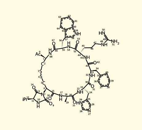 CC(=O)[C@@H]1CSSC[C@H](N2C(=O)N[C@@H](C(C)C)C2=O)C(=O)N[C@H](C)C(=O)N[C@@H](Cc2cnc[nH]2)C(=O)N[C@H](Cc2ccccc2)C(=O)N[C@@H](CCCNC(=N)N)C(=O)N[C@@H](Cc2c[nH]c3ccccc23)C(=O)N1